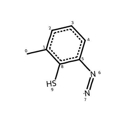 Cc1cccc(N=[N])c1S